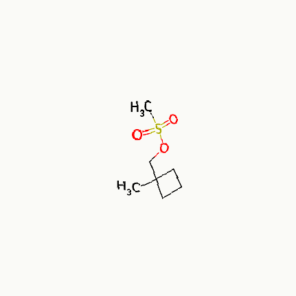 CC1(COS(C)(=O)=O)CCC1